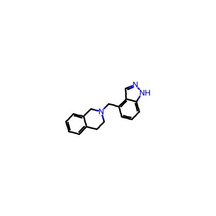 c1ccc2c(c1)CCN(Cc1cccc3[nH]ncc13)C2